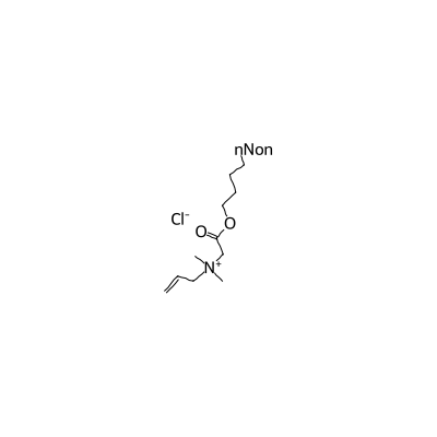 C=CC[N+](C)(C)CC(=O)OCCCCCCCCCCCCC.[Cl-]